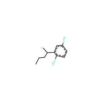 [CH2]C(CCC)c1cc(F)ccc1F